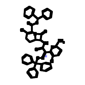 Nc1ccc(Cl)c(/C(=N/OC(c2ccccc2)(c2ccccc2)c2ccccc2)C(=O)NC2C(=O)N3C(C(=O)OC(c4ccccc4)c4ccccc4)=C(Cl)CCC23)n1